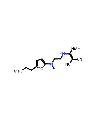 CNC(NCCN(C)c1ccc(CCOC)o1)=C(C#N)C#N